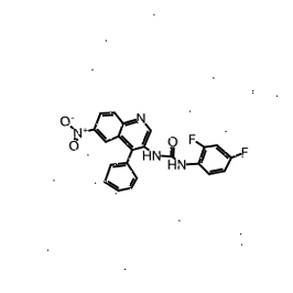 O=C(Nc1ccc(F)cc1F)Nc1cnc2ccc([N+](=O)[O-])cc2c1-c1ccccc1